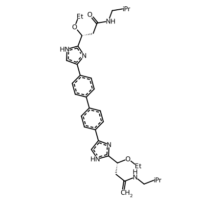 C=C(C[C@@H](OCC)c1nc(-c2ccc(-c3ccc(-c4c[nH]c([C@@H](CC(=O)NCC(C)C)OCC)n4)cc3)cc2)c[nH]1)NCC(C)C